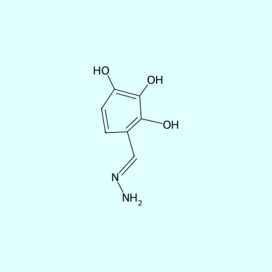 NN=Cc1ccc(O)c(O)c1O